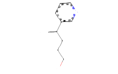 [CH]C(CCCO)c1cccnc1